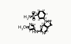 Cn1cc(Nc2ncc3cnn(-c4cccc(S(N)(=O)=O)c4)c3n2)cn1